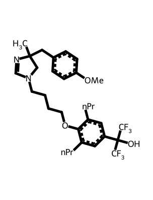 CCCc1cc(C(O)(C(F)(F)F)C(F)(F)F)cc(CCC)c1OCCCCN1C=NC(C)(Cc2ccc(OC)cc2)C1